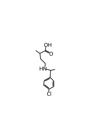 CC(CCNC(C)c1ccc(Cl)cc1)C(=O)O